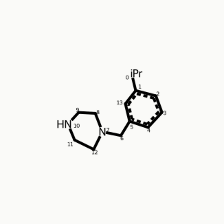 CC(C)c1cccc(CN2CCNCC2)c1